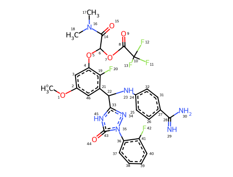 COc1cc(OC(OC(=O)C(F)(F)F)C(=O)N(C)C)c(F)c(C(Nc2ccc(C(=N)N)cc2)c2nn(-c3ccccc3F)c(=O)[nH]2)c1